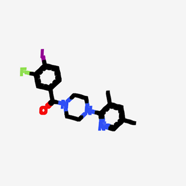 Cc1cnc(N2CCN(C(=O)c3ccc(I)c(F)c3)CC2)c(C)c1